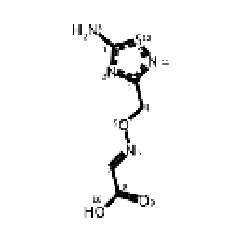 Nc1nc(CON=CC(=O)O)ns1